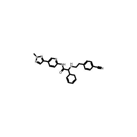 Cn1ncc(-c2ccc(NC(=O)C(NCCc3ccc(C#N)cc3)C3C=CC=CC3)nc2)n1